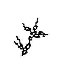 CCCCCCC1(CCCCCC)c2cc(C)ccc2-c2ccc(-c3ccc(-c4ccc(-c5ccc(C)s5)c5nc(-c6ccc(CCC)cc6)c(-c6ccc(CCC)cc6)nc45)s3)cc21